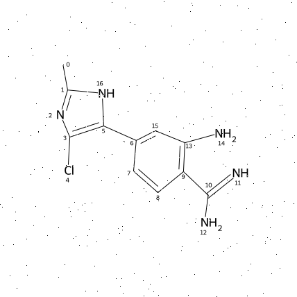 Cc1nc(Cl)c(-c2ccc(C(=N)N)c(N)c2)[nH]1